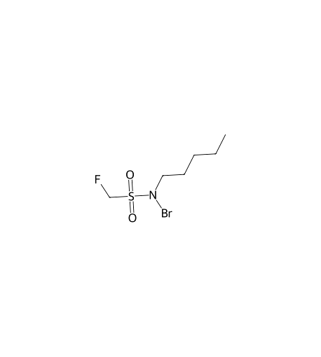 CCCCCN(Br)S(=O)(=O)CF